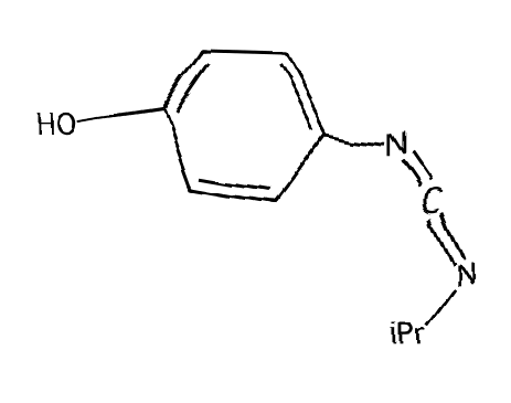 CC(C)N=C=Nc1ccc(O)cc1